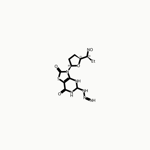 CC[C@H](N=O)[C@@H]1CC[C@H](n2c3c(sc2=O)C(=O)NC(NN=N)N3)O1